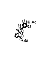 CC(=O)Nc1c(Cl)cc(C(=O)NC(C)C(=O)N2CCCC2C(=O)OC(C)(C)C)cc1Cl